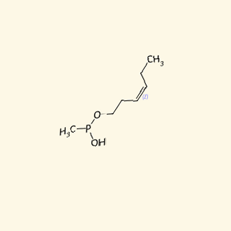 CC/C=C\CCOP(C)O